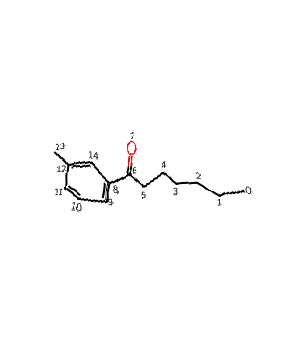 CCCCCCC(=O)c1cccc(C)c1